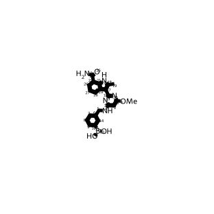 COc1cc(NCc2cccc(B(O)O)c2)nc(-c2c(C)[nH]c3c(C(N)=O)cccc23)n1